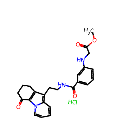 COC(=O)CNc1cccc(C(=O)NCCc2c3c(n4ccccc24)C(=O)CCC3)c1.Cl